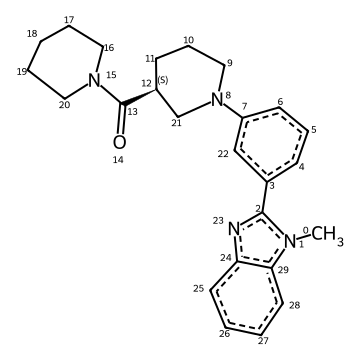 Cn1c(-c2cccc(N3CCC[C@H](C(=O)N4CCCCC4)C3)c2)nc2ccccc21